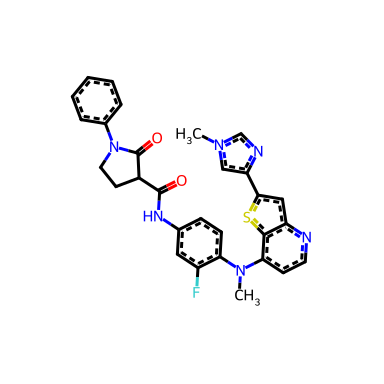 CN(c1ccc(NC(=O)C2CCN(c3ccccc3)C2=O)cc1F)c1ccnc2cc(-c3cn(C)cn3)sc12